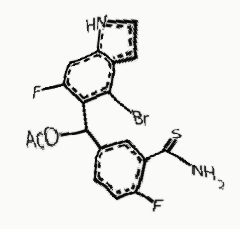 CC(=O)OC(c1ccc(F)c(C(N)=S)c1)c1c(F)cc2[nH]ccc2c1Br